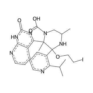 CC1CN(C(=O)O)C(C)(c2nc(=O)[nH]c3ncccc23)C(OCCI)(c2cccnc2C(C)C)N1